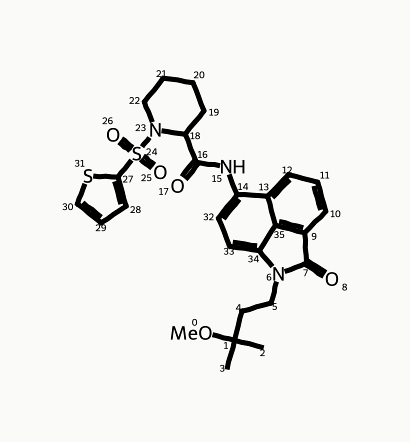 COC(C)(C)CCN1C(=O)c2cccc3c(NC(=O)C4CCCCN4S(=O)(=O)c4cccs4)ccc1c23